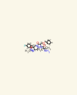 CN1N=C2CCN(C(=O)C(COCc3ccccc3)NC(=O)C(C)(C)N)CC2(Cc2ccc(F)cc2)C1=O